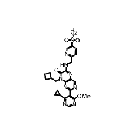 COc1ncnc(C2CC2)c1-c1ncc2nc(NCc3ccc(S(N)(=O)=O)cn3)c(=O)n(CC3CCC3)c2n1